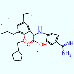 CCCc1cc(CC)cc(C(Nc2ccc(C(=N)N)cc2)C(=O)O)c1OCC1CCCC1